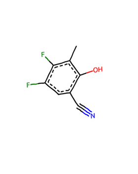 Cc1c(O)c(C#N)cc(F)c1F